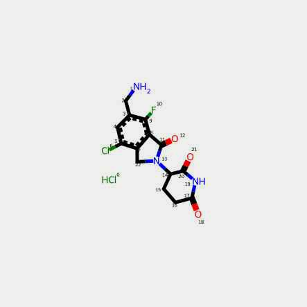 Cl.NCc1cc(Cl)c2c(c1F)C(=O)N(C1CCC(=O)NC1=O)C2